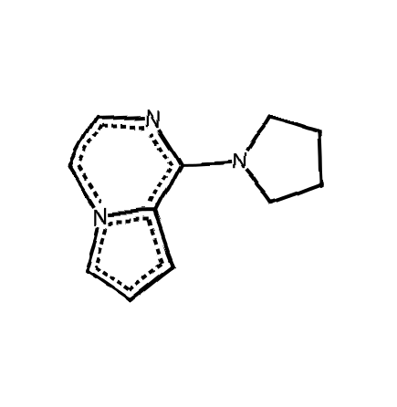 c1cc2c(N3CCCC3)nccn2c1